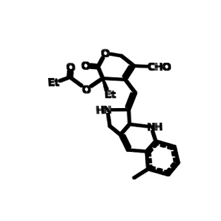 CCC(=O)O[C@]1(CC)C(=O)OCC(C=O)=C1/C=C1\NCC2=Cc3c(C)cccc3NC21